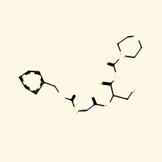 CC(C)CC(NC(=O)[C@@H](NC(=O)OCc1ccccc1)C(C)C)C(=O)NC(=O)N1CCOCC1